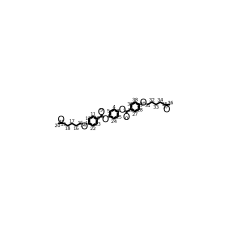 O=C(Oc1ccc(OC(=O)c2ccc(OCCCCC3CO3)cc2)cc1)c1ccc(OCCCCC2CO2)cc1